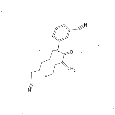 C=C(CCF)C(=O)N(CCCCCC#N)c1cccc(C#N)c1